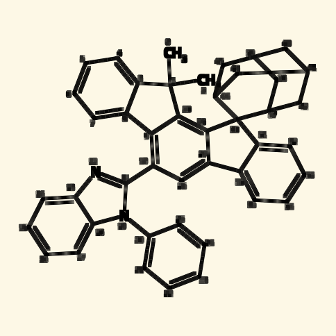 CC1(C)c2ccccc2-c2c(-c3nc4ccccc4n3-c3ccccc3)cc3c(c21)C1(c2ccccc2-3)C2CC3CC(C2)CC1C3